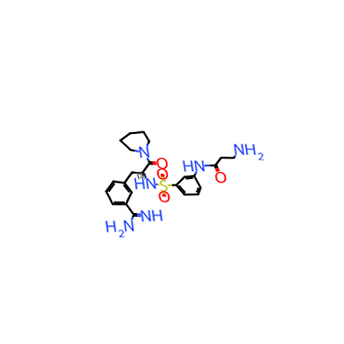 N=C(N)c1cccc(C[C@H](NS(=O)(=O)c2cccc(NC(=O)CCN)c2)C(=O)N2CCCCC2)c1